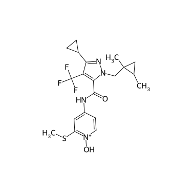 CSc1cc(NC(=O)c2c(C(F)(F)F)c(C3CC3)nn2CC2(C)CC2C)cc[n+]1O